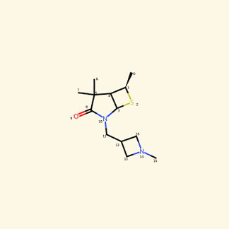 C[C@H]1SC2C1C(C)(C)C(=O)N2CC1CN(C)C1